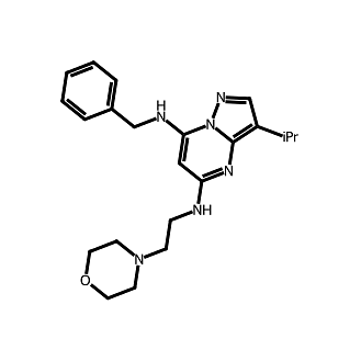 CC(C)c1cnn2c(NCc3ccccc3)cc(NCCN3CCOCC3)nc12